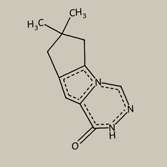 CC1(C)Cc2cc3c(=O)[nH]ncn3c2C1